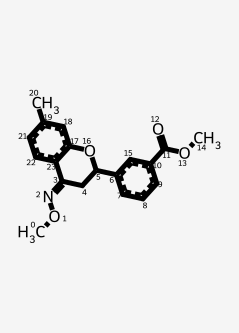 CON=C1CC(c2cccc(C(=O)OC)c2)Oc2cc(C)ccc21